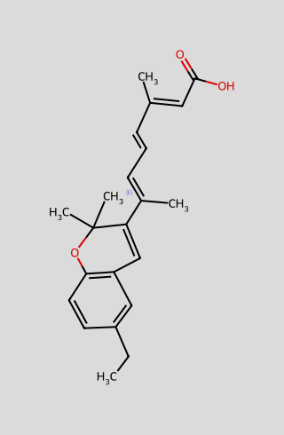 CCc1ccc2c(c1)C=C(/C(C)=C/C=CC(C)=CC(=O)O)C(C)(C)O2